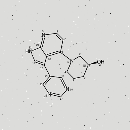 O[C@H]1CCCN(c2ccnc3[nH]cc(-c4cncnc4)c23)C1